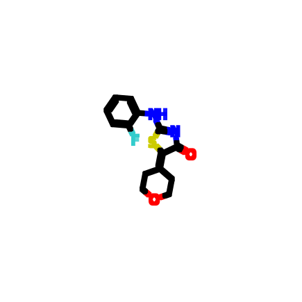 O=C1N=C(Nc2ccccc2F)SC1=C1CCOCC1